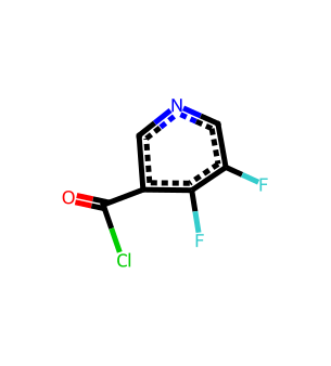 O=C(Cl)c1cncc(F)c1F